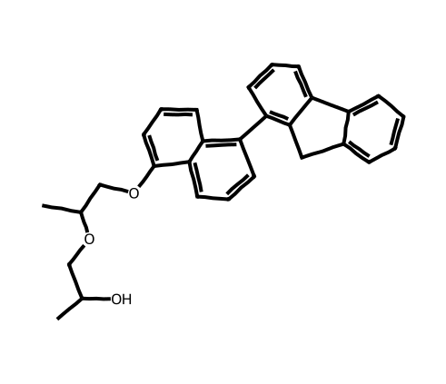 CC(O)COC(C)COc1cccc2c(-c3cccc4c3Cc3ccccc3-4)cccc12